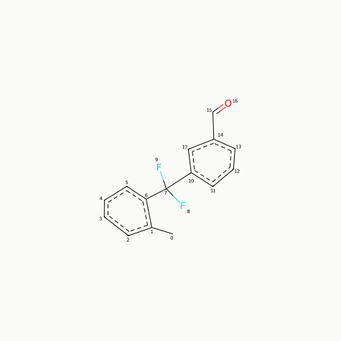 Cc1ccccc1C(F)(F)c1cccc(C=O)c1